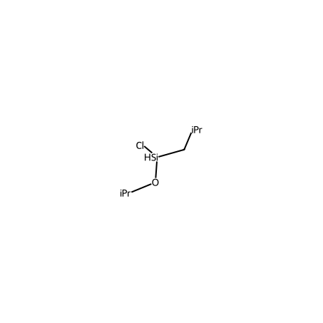 CC(C)C[SiH](Cl)OC(C)C